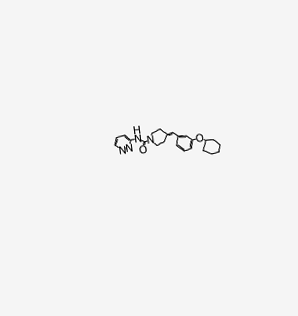 O=C(Nc1cccnn1)N1CCC(=Cc2cccc(OC3CCCCC3)c2)CC1